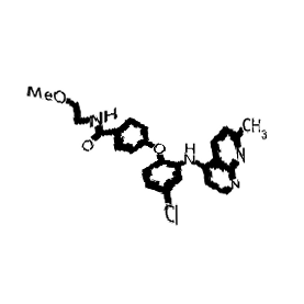 COCCNC(=O)c1ccc(Oc2ccc(Cl)cc2Nc2ccnc3nc(C)ccc23)cc1